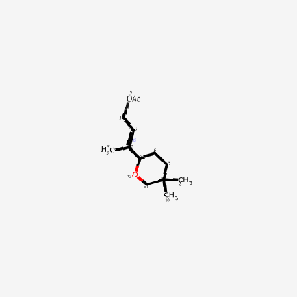 CC(=O)OC/C=C(\C)C1CCC(C)(C)CO1